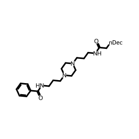 CCCCCCCCCCCC(=O)NCCCN1CCN(CCCNC(=O)c2ccccc2)CC1